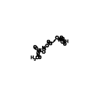 CC(=O)N1CCn2c(C3CCOCC3)nc(-c3cccc4cc(-c5ccc(C(=O)OCCC#Cc6cccc7c6CN(C6CCC(=O)NC6=O)C7=O)cc5)ncc34)c2C1